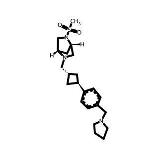 CS(=O)(=O)N1C[C@@H]2C[C@H]1CN2C[C@H]1C[C@H](c2ccc(CN3CCCC3)cc2)C1